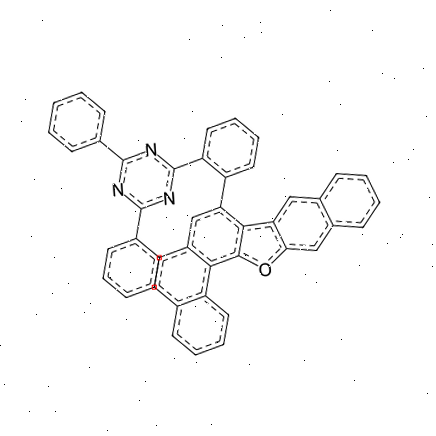 c1ccc(-c2nc(-c3ccccc3)nc(-c3ccccc3-c3cc4ccc5ccccc5c4c4oc5cc6ccccc6cc5c34)n2)cc1